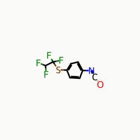 O=C=Nc1ccc(SC(F)(F)C(F)F)cc1